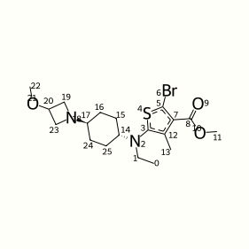 CCN(c1sc(Br)c(C(=O)OC)c1C)[C@H]1CC[C@H](N2CC(OC)C2)CC1